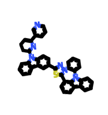 C1=C(c2cccnc2)N=C(n2c3ccccc3c3cc(-c4nnc(-c5cccc6c7ccccc7n(-c7ccccc7)c56)s4)ccc32)CC1